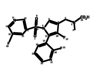 CN(Cc1cn(S(=O)(=O)c2cncc(F)c2)c(-c2cccnc2F)c1F)C(=O)O